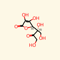 O=C1O[C@H]([C@@](O)(CO)C(=O)CO)C(O)=C1O